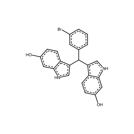 Oc1ccc2c(C(c3cccc(Br)c3)c3c[nH]c4cc(O)ccc34)c[nH]c2c1